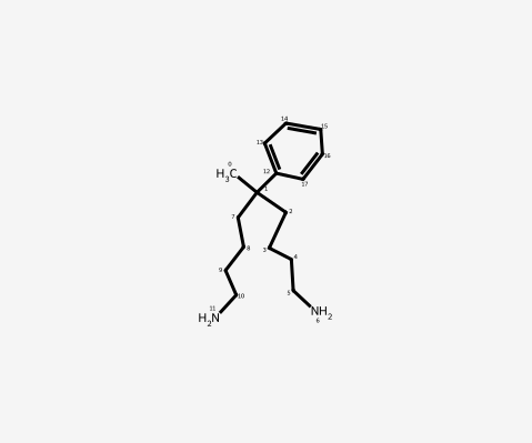 CC(CCCCN)(CCCCN)c1ccccc1